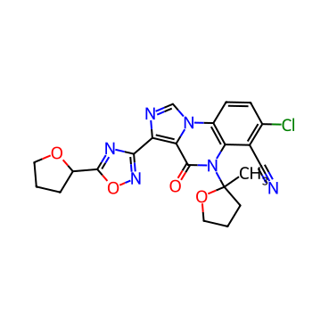 CC1(n2c(=O)c3c(-c4noc(C5CCCO5)n4)ncn3c3ccc(Cl)c(C#N)c32)CCCO1